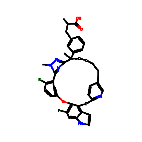 CC(Cc1cccc(C2(C)CCCCc3ccc(nc3)Cc3c(c(F)cc4[nH]ccc34)Oc3ccc(F)c(c3)-c3nc2nn3C)c1)C(=O)O